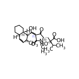 CC(C)[C@@](O)(C[C@H]1C(=O)/C(=C(\O)[C@@H]2[C@H]3CCCC[C@@H]3C=C[C@@H]2C)C(=O)N1C)C(=O)O